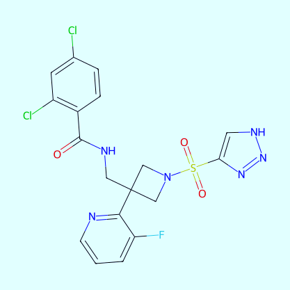 O=C(NCC1(c2ncccc2F)CN(S(=O)(=O)c2c[nH]nn2)C1)c1ccc(Cl)cc1Cl